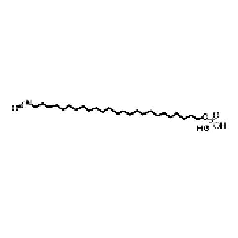 O=C=NCCCCCCCCCCCCCCCCCCCCCCCCCOP(=O)(O)O